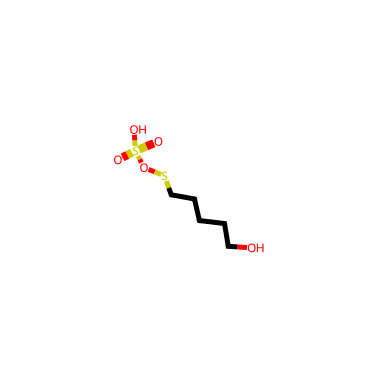 O=S(=O)(O)OSCCCCCO